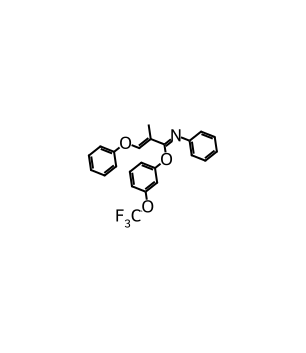 CC(=C\Oc1ccccc1)/C(=N/c1ccccc1)Oc1cccc(OC(F)(F)F)c1